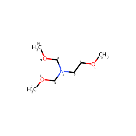 COCCN(COC)COC